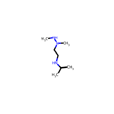 CNN(C)CCNC(C)C